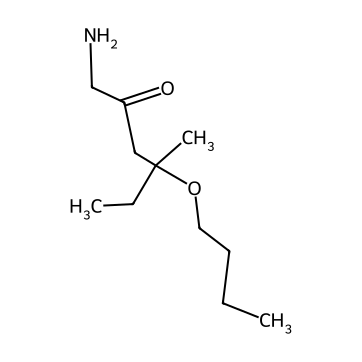 CCCCOC(C)(CC)CC(=O)CN